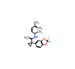 C=C(C)/C=C\C(C)NC(=C)C1(c2ccc3c(c2)OC(F)(F)O3)CC1